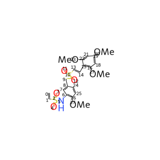 C=CS(=O)(=O)Nc1cc(CS(=O)(=O)C=Cc2c(OC)cc(OC)cc2OC)ccc1OC